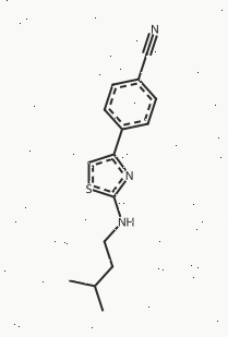 CC(C)CCNc1nc(-c2ccc(C#N)cc2)cs1